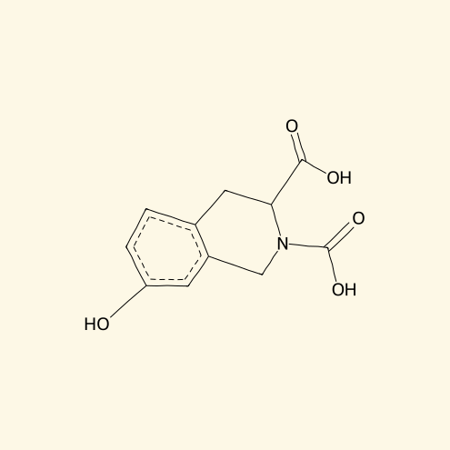 O=C(O)C1Cc2ccc(O)cc2CN1C(=O)O